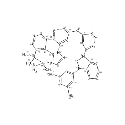 CC(C)(C)c1cc(N2CN(c3cccc(Oc4ccc5c6cccc7c6c6c(cnn6c5c4)C(C)(C)C7(C)C)c3)c3ccccc32)cc(C(C)(C)C)c1